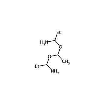 CCC(N)OC(C)OC(N)CC